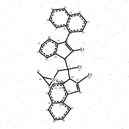 CCC[CH2][Zr]1([CH2]C(CC)(C2C(CC)=C(c3cccc4ccccc34)c3ccccc32)C2C(CC)=Cc3c2ccc2ccccc32)[CH2][CH]1C